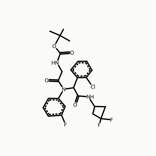 CC(C)(C)OC(=O)NCC(=O)N(c1cccc(F)c1)C(C(=O)NC1CC(F)(F)C1)c1ccccc1Cl